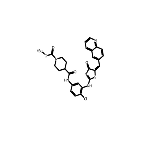 CC(C)(C)OC(=O)N1CCC(C(=O)Nc2ccc(Cl)c(NC3=NC(=O)C(=Cc4ccc5ncccc5c4)S3)c2)CC1